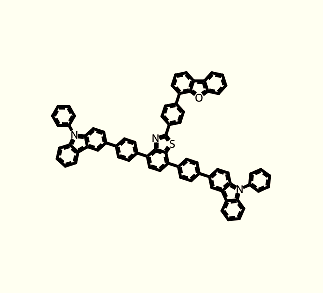 c1ccc(-n2c3ccccc3c3cc(-c4ccc(-c5ccc(-c6ccc(-c7ccc8c(c7)c7ccccc7n8-c7ccccc7)cc6)c6sc(-c7ccc(-c8cccc9c8oc8ccccc89)cc7)nc56)cc4)ccc32)cc1